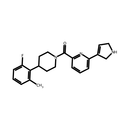 Cc1cccc(F)c1C1CCN(C(=O)c2cccc(C3=CCNC3)n2)CC1